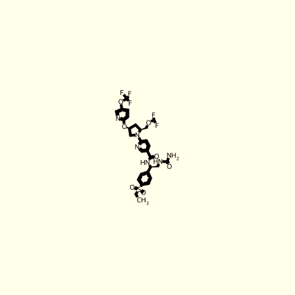 CCS(=O)(=O)c1ccc([C@H](CNC(N)=O)NC(=O)c2ccc(N3C[C@@H](Oc4ccc(OC(F)(F)F)cn4)C[C@H]3COC(F)F)nc2)cc1